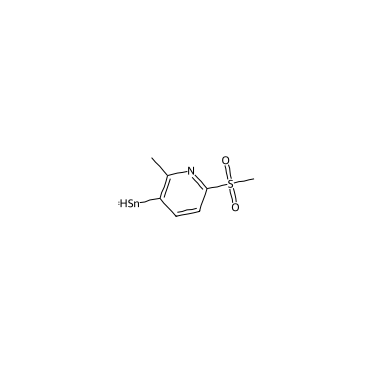 Cc1nc(S(C)(=O)=O)cc[c]1[SnH]